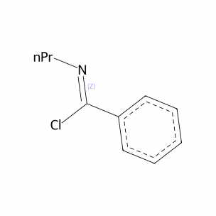 CCC/N=C(\Cl)c1ccccc1